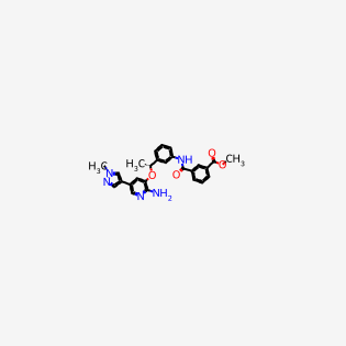 COC(=O)c1cccc(C(=O)Nc2cccc([C@@H](C)Oc3cc(-c4cnn(C)c4)cnc3N)c2)c1